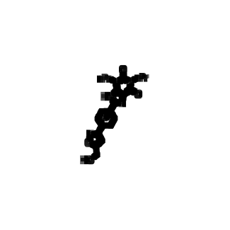 CCCn1c(=O)c2nc(C34CCC(c5cc(CO)on5)(CC3)CC4)[nH]c2n(CCC)c1=O